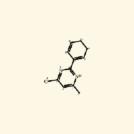 Cc1cc(Cl)nc(C2=CCCC=C2)n1